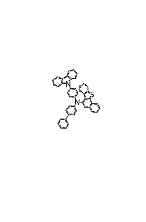 c1ccc(-c2ccc(N(c3ccc(-n4c5ccccc5c5ccccc54)cc3)c3cc4ccccc4c4sc5ccccc5c34)cc2)cc1